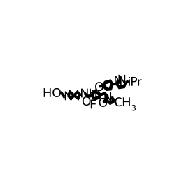 CC(C)c1ccc(-c2ccc(Oc3cc(C(=O)NC4CC5(C4)CN(CCO)C5)c(F)cc3CN3C[C@@H](C)CC3=O)cc2)nn1